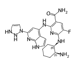 NC(=O)c1cc(F)c(N[C@@H]2CCCC[C@@H]2N)nc1Nc1cc(N2C=CNN2)nc2[nH]ccc12